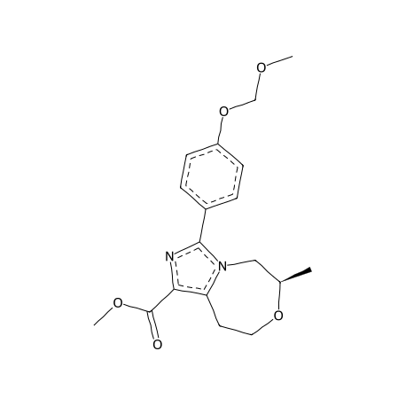 COCOc1ccc(-c2nc(C(=O)OC)c3n2C[C@@H](C)OCC3)cc1